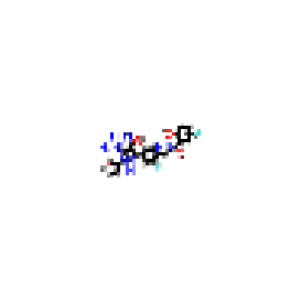 COc1ccc(F)cc1C(=O)NCc1ccc(C2NN(C3CCOC3)C(N)=C2C(N)=O)cc1F